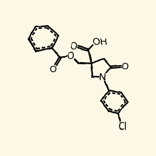 O=C(OCC1(C(=O)O)CC(=O)N(c2ccc(Cl)cc2)C1)c1ccccc1